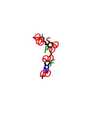 CCOC(=O)[C@@H](C)CC(=O)c1cc2c(F)c(OCCCOc3c(OC)cc4c(c3F)CN(C(=O)OC(C)(C)C)C4)c(OC)cc2s1